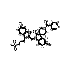 CS(=O)(=O)CCCn1c(CN2C(=O)C3(CCN(C(=O)c4ccncc4)CC3)c3cc(Br)ccc32)nc2cc(Cl)ccc21